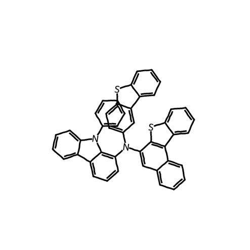 c1ccc(-n2c3ccccc3c3cccc(N(c4ccc5sc6ccccc6c5c4)c4cc5ccccc5c5c4sc4ccccc45)c32)cc1